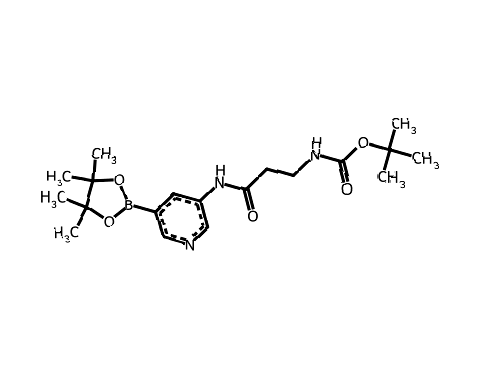 CC(C)(C)OC(=O)NCCC(=O)Nc1cncc(B2OC(C)(C)C(C)(C)O2)c1